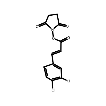 O=C(C=Cc1ccc(Cl)c(Cl)c1)ON1C(=O)CCC1=O